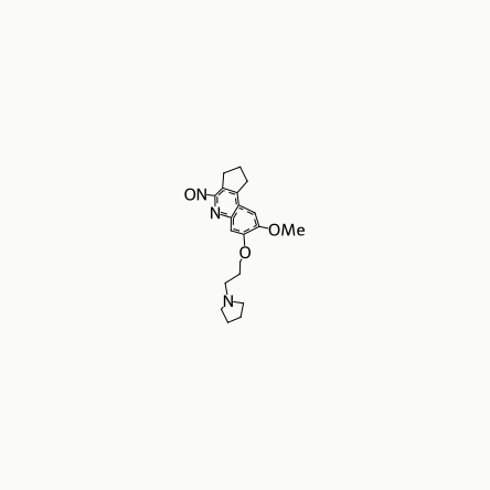 COc1cc2c3c(c(N=O)nc2cc1OCCCN1CCCC1)CCC3